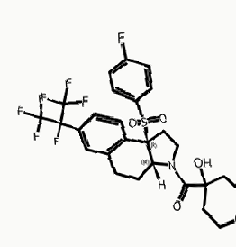 O=C(N1CC[C@@]2(S(=O)(=O)c3ccc(F)cc3)c3ccc(C(F)(C(F)(F)F)C(F)(F)F)cc3CC[C@@H]12)C1(O)CCOCC1